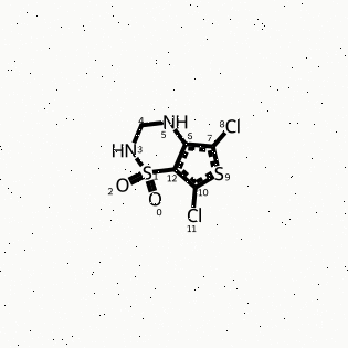 O=S1(=O)NCNc2c(Cl)sc(Cl)c21